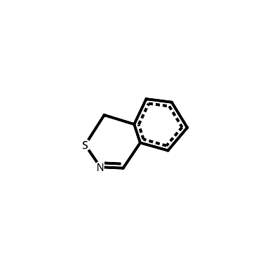 C1=NSCc2ccccc21